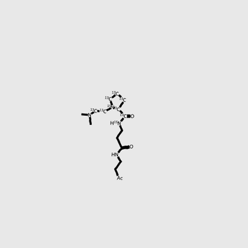 CC(=O)CCNC(=O)CC[15NH][13C](=O)[13CH]1[13CH2][13CH2][13CH2][15N]1[13CH2][13CH2]N(C)C